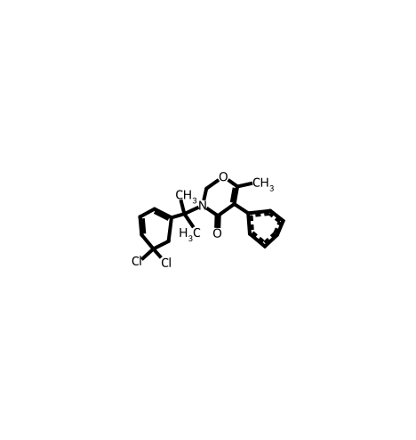 CC1=C(c2ccccc2)C(=O)N(C(C)(C)C2=CC=CC(Cl)(Cl)C2)CO1